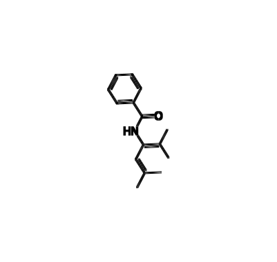 CC(C)=CC(NC(=O)c1ccccc1)=C(C)C